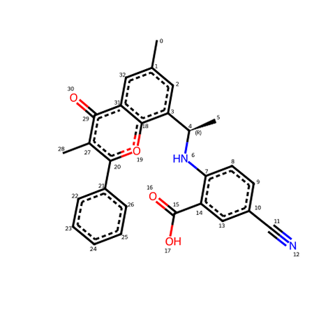 Cc1cc([C@@H](C)Nc2ccc(C#N)cc2C(=O)O)c2oc(-c3ccccc3)c(C)c(=O)c2c1